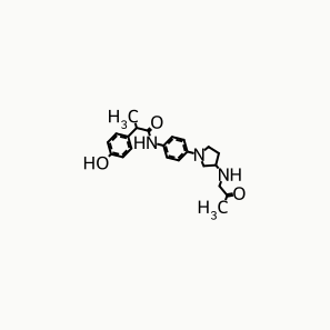 CC(=O)CNC1CCN(c2ccc(NC(=O)C(C)c3ccc(O)cc3)cc2)C1